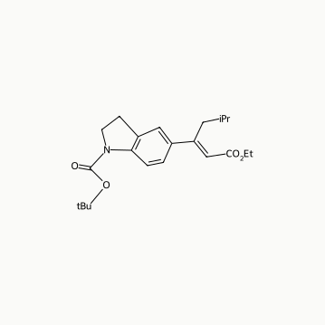 CCOC(=O)C=C(CC(C)C)c1ccc2c(c1)CCN2C(=O)OC(C)(C)C